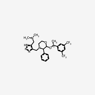 C[C@H](OC1OCCN(Cc2nn[nH]c2CN(C)C)C1c1ccccc1)c1cc(C(F)(F)F)cc(C(F)(F)F)c1